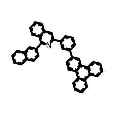 c1cc(-c2ccc3c4ccccc4c4ccccc4c3c2)cc(-c2cc3ccccc3c(-c3ccc4ccccc4c3)n2)c1